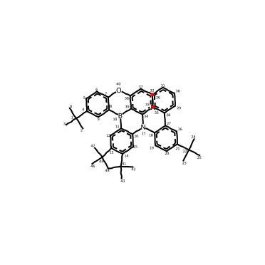 CC(C)(C)c1ccc2c(c1)B1c3cc4c(cc3N(c3ccc(C(C)(C)C)cc3-c3ccccc3)c3nccc(c31)O2)C(C)(C)CC4(C)C